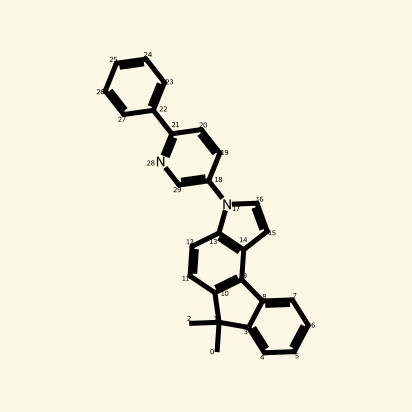 CC1(C)c2ccccc2-c2c1ccc1c2ccn1-c1ccc(-c2ccccc2)nc1